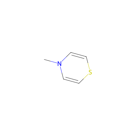 CN1C=CSC=C1